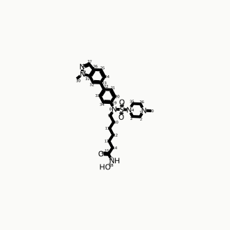 CN1CCN(S(=O)(=O)N(CCCCCCC(=O)NO)c2ccc(-c3ccc4cnn(C)c4c3)cc2)CC1